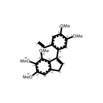 C=Cc1cc(OC)c(OC)cc1C1=CCc2cc(OC)c(OC)c(OC)c21